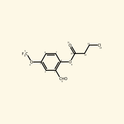 O=Cc1cc(OC(F)(F)F)ccc1OC(=O)CCCl